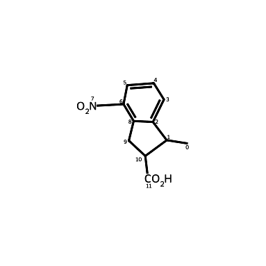 CC1c2cccc([N+](=O)[O-])c2CC1C(=O)O